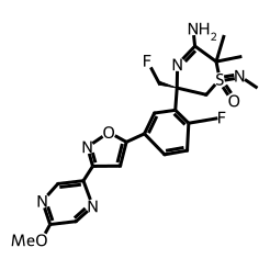 CN=S1(=O)C[C@](CF)(c2cc(-c3cc(-c4cnc(OC)cn4)no3)ccc2F)N=C(N)C1(C)C